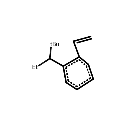 C=Cc1ccccc1C(CC)C(C)(C)C